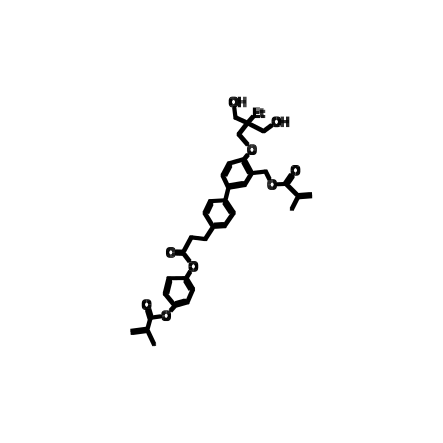 C=C(C)C(=O)OCc1cc(-c2ccc(CCC(=O)Oc3ccc(OC(=O)C(=C)C)cc3)cc2)ccc1OCC(CC)(CO)CO